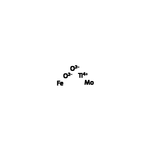 [Fe].[Mo].[O-2].[O-2].[Ti+4]